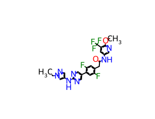 CCn1cc(Nc2ncc(-c3cc(F)c(CC(=O)Nc4cnc(OC)c(C(F)(F)F)c4)cc3F)cn2)cn1